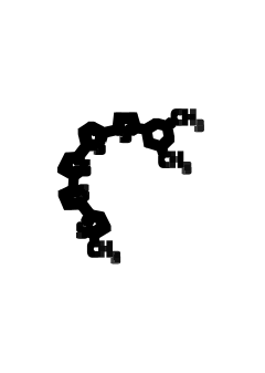 Cc1ccc(-c2ccc(-c3ccc(-c4ccc(-c5ccc(C6CC(C)CC(C)C6)s5)s4)s3)s2)s1